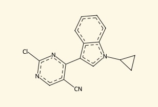 N#Cc1cnc(Cl)nc1-c1cn(C2CC2)c2ccccc12